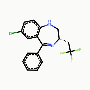 FC(F)(F)C[C@H]1CNc2ccc(Cl)cc2C(c2ccccc2)=N1